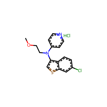 COCCN(c1ccncc1)c1csc2cc(Cl)ccc12.Cl